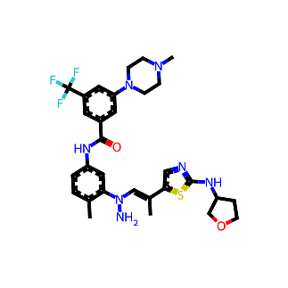 C/C(=C\N(N)c1cc(NC(=O)c2cc(N3CCN(C)CC3)cc(C(F)(F)F)c2)ccc1C)c1cnc(NC2CCOC2)s1